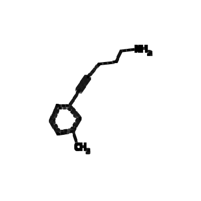 Cc1cccc(C#CCCCN)c1